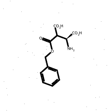 N[C@H](C(=O)O)C(C(=O)O)C(=O)OCc1ccccc1